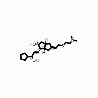 CN(C)CCSC/C=C1\C[C@H]2C[C@@H](O)[C@H](/C=C/[C@@H](O)C3CCCC3)[C@H]2C1